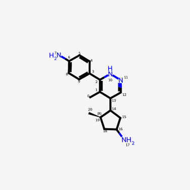 CC1=C(c2ccc(N)cc2)NN=CC1C1CC(N)C[C@H]1C